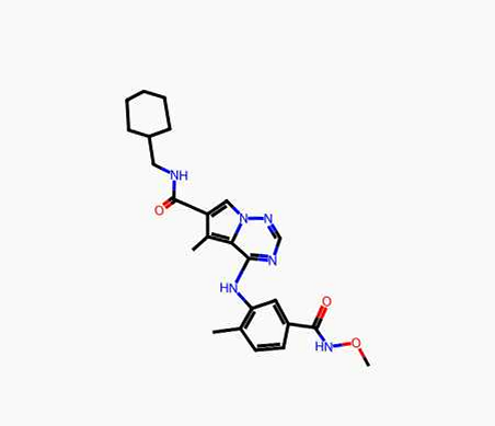 CONC(=O)c1ccc(C)c(Nc2ncnn3cc(C(=O)NCC4CCCCC4)c(C)c23)c1